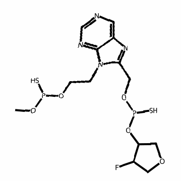 COP(S)OCCn1c(COP(S)OC2COCC2F)nc2cncnc21